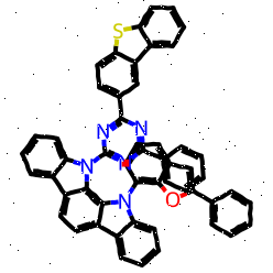 c1ccc(-c2nc(-c3ccc4sc5ccccc5c4c3)nc(-n3c4ccccc4c4ccc5c6ccccc6n(-c6cccc7cc(-c8ccccc8)oc67)c5c43)n2)cc1